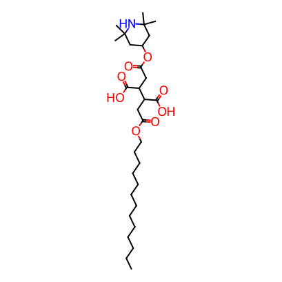 CCCCCCCCCCCCCOC(=O)CC(C(=O)O)C(CC(=O)OC1CC(C)(C)NC(C)(C)C1)C(=O)O